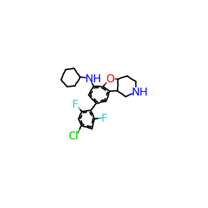 Fc1cc(Cl)cc(F)c1-c1cc(NC2CCCCC2)c2c(c1)C1CNCCC1O2